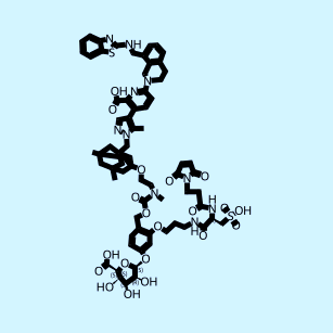 Cc1c(-c2ccc(N3CCc4cccc(CNc5nc6ccccc6s5)c4C3)nc2C(=O)O)cnn1CC12CC3(C)CC(C)(C1)CC(OCCN(C)C(=O)OCc1ccc(O[C@@H]4O[C@H](C(=O)O)[C@@H](O)[C@H](O)[C@H]4O)cc1OCCCNC(=O)[C@H](CS(=O)(=O)O)NC(=O)CCN1C(=O)C=CC1=O)(C3)C2